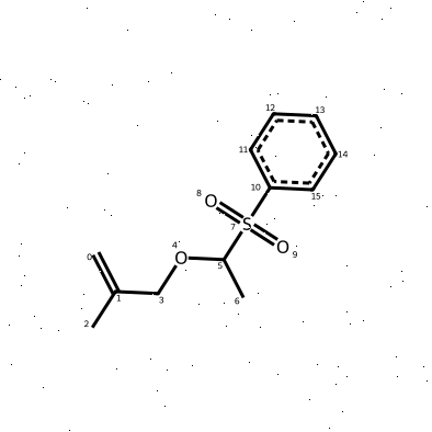 C=C(C)COC(C)S(=O)(=O)c1ccccc1